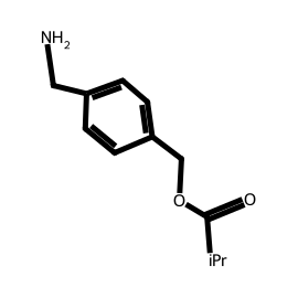 CC(C)C(=O)OCc1ccc(CN)cc1